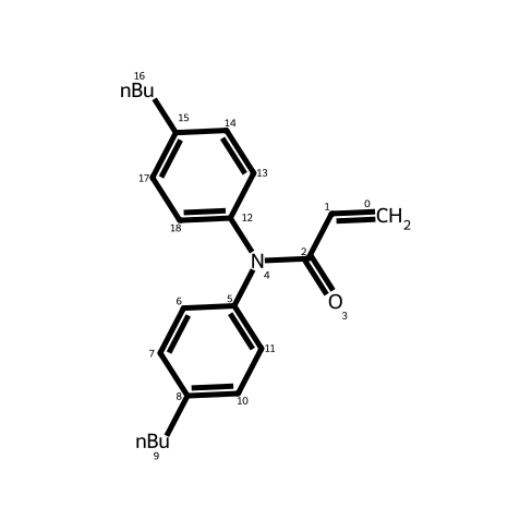 C=CC(=O)N(c1ccc(CCCC)cc1)c1ccc(CCCC)cc1